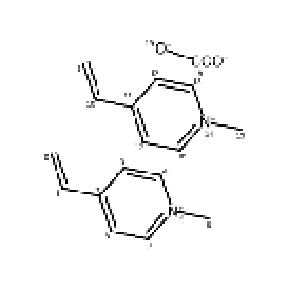 C=Cc1cc[n+](C)cc1.C=Cc1cc[n+](C)cc1.O=C([O-])[O-]